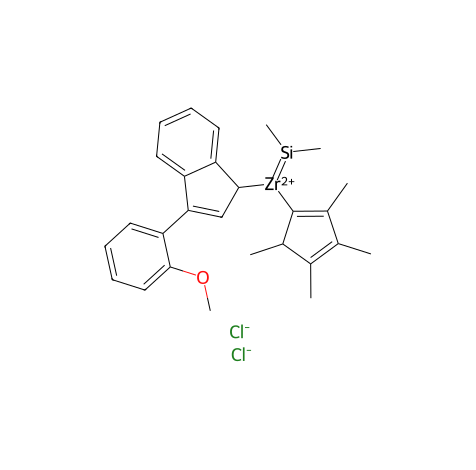 COc1ccccc1C1=C[CH]([Zr+2]([C]2=C(C)C(C)=C(C)C2C)=[Si](C)C)c2ccccc21.[Cl-].[Cl-]